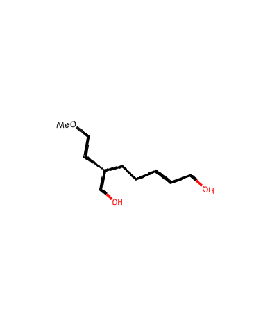 [CH2]OCC[C@H](CO)CCCCCO